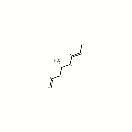 C=CCCCC=CC.O